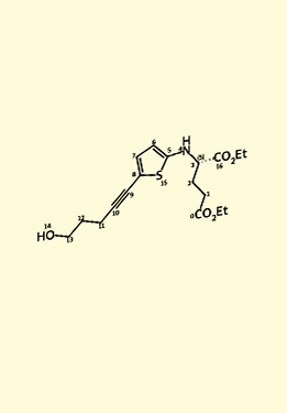 CCOC(=O)CC[C@H](Nc1ccc(C#CCCCO)s1)C(=O)OCC